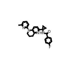 Cc1cccc(N2CCCc3nc(C4(NC(=O)c5ccc(F)cc5)CC4)ccc32)n1